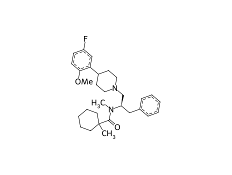 COc1ccc(F)cc1C1CCN(C[C@@H](Cc2ccccc2)N(C)C(=O)C2(C)CCCCC2)CC1